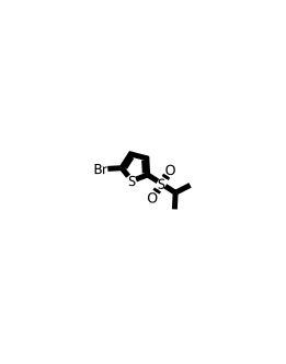 CC(C)S(=O)(=O)c1ccc(Br)s1